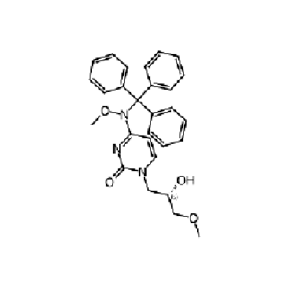 COC[C@@H](O)Cn1ccc(N(OC)C(c2ccccc2)(c2ccccc2)c2ccccc2)nc1=O